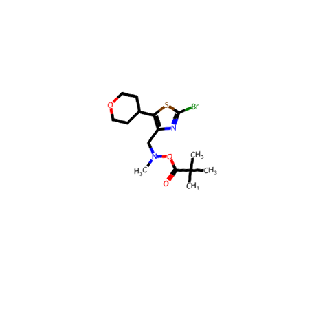 CN(Cc1nc(Br)sc1C1CCOCC1)OC(=O)C(C)(C)C